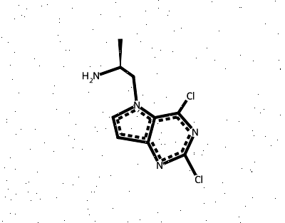 C[C@H](N)Cn1ccc2nc(Cl)nc(Cl)c21